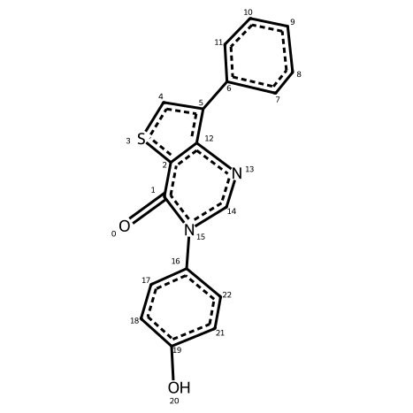 O=c1c2scc(-c3ccccc3)c2ncn1-c1ccc(O)cc1